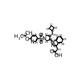 CC(C)Oc1ccc(S(=O)(=O)N2C[C@@H](CC3CCC3)[C@@H](n3nc(CC(=O)O)c4ccccc43)C2)cn1